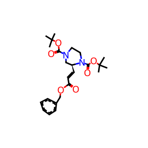 CC(C)(C)OC(=O)N1CCN(C(=O)OC(C)(C)C)[C@@H](C=CC(=O)OCc2ccccc2)C1